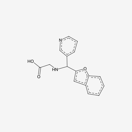 O=C(O)CNC(c1cccnc1)c1cc2ccccc2o1